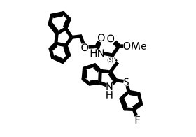 COC(=O)[C@H](Cc1c(Sc2ccc(F)cc2)[nH]c2ccccc12)NC(=O)OCC1c2ccccc2-c2ccccc21